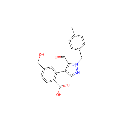 Cc1ccc(Cn2ncc(-c3cc(CO)ccc3C(=O)O)c2C=O)cc1